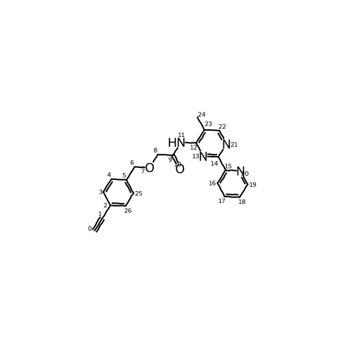 C#Cc1ccc(COCC(=O)Nc2nc(-c3ccccn3)ncc2C)cc1